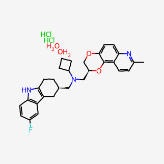 Cc1ccc2c3c(ccc2n1)OC[C@H](CN(C[C@@H]1CCc2[nH]c4ccc(F)cc4c2C1)C1CCC1)O3.Cl.Cl.O.O